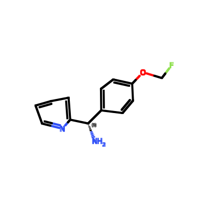 N[C@@H](c1ccc(OCF)cc1)c1ccccn1